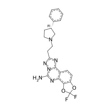 Nc1nc2c3c(ccc2c2nc(CCN4CC[C@H](c5ccccc5)C4)nn12)OC(F)(F)O3